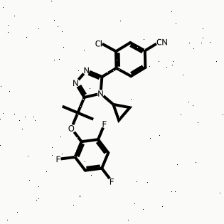 CC(C)(Oc1c(F)cc(F)cc1F)c1nnc(-c2ccc(C#N)cc2Cl)n1C1CC1